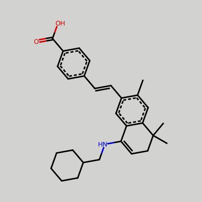 Cc1cc2c(cc1C=Cc1ccc(C(=O)O)cc1)C(NCC1CCCCC1)=CCC2(C)C